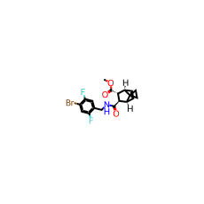 COC(=O)[C@H]1[C@H](C(=O)NCc2cc(F)c(Br)cc2F)[C@@H]2C=C[C@H]1C21CC1